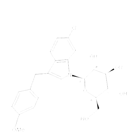 COc1ccc(Cc2cn([C@@H]3O[C@H](CO)[C@@H](O)[C@H](O)[C@H]3O)c3cc(Cl)ccc23)cc1